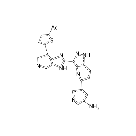 CC(=O)c1ccc(-c2cncc3[nH]c(-c4n[nH]c5ccc(-c6cncc(N)c6)nc45)nc23)s1